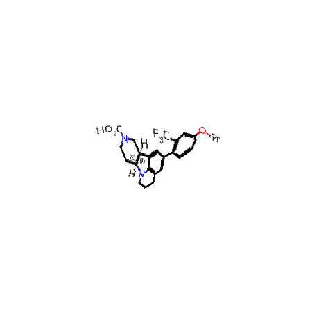 CC(C)Oc1ccc(-c2cc3c4c(c2)[C@@H]2CN(C(=O)O)CC[C@@H]2N4CCC3)c(C(F)(F)F)c1